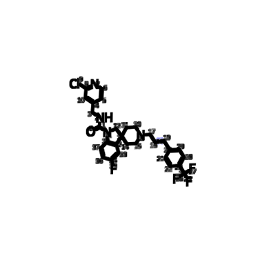 O=C(NCc1ccnc(Cl)c1)N1CC2(CCN(C/C=C/c3ccc(C(F)(F)F)cc3)CC2)c2cc(F)ccc21